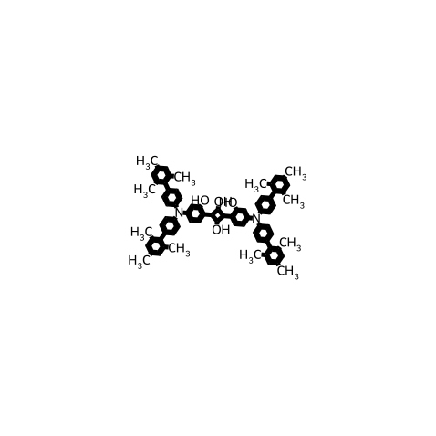 Cc1cc(C)c(-c2ccc(N(c3ccc(-c4c(C)cc(C)cc4C)cc3)c3ccc(C4C(O)C(c5ccc(N(c6ccc(-c7c(C)cc(C)cc7C)cc6)c6ccc(-c7c(C)cc(C)cc7C)cc6)cc5O)C4O)c(O)c3)cc2)c(C)c1